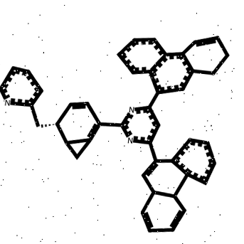 C1=CC2C=C(c3cc(-c4cc5c(c6ccccc46)C=CCC5)nc(C4=C5CC5[C@H](Cc5ccccn5)C=C4)n3)c3ccccc3C2C=C1